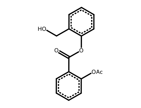 CC(=O)Oc1ccccc1C(=O)Oc1ccccc1CO